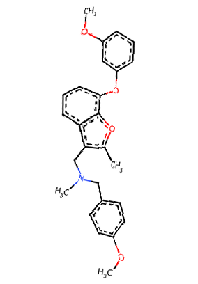 COc1ccc(CN(C)Cc2c(C)oc3c(Oc4cccc(OC)c4)cccc23)cc1